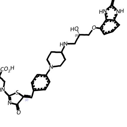 O=C(O)CCNC1=NC(=O)/C(=C/c2ccc(N3CCC(NC[C@H](O)COc4cccc5[nH]c(=O)[nH]c45)CC3)cc2)S1